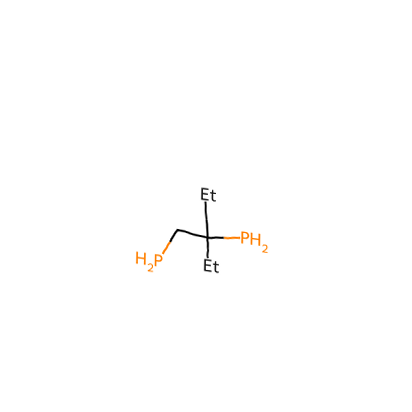 CCC(P)(CC)CP